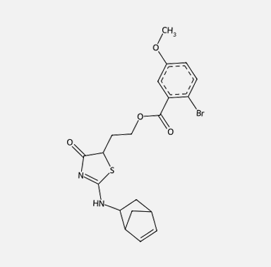 COc1ccc(Br)c(C(=O)OCCC2SC(NC3CC4C=CC3C4)=NC2=O)c1